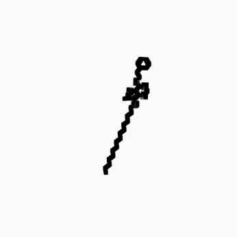 CCCCCCCCCCCCCCCCOc1c2ncnc(SCCc3ccccc3)c2nn1C